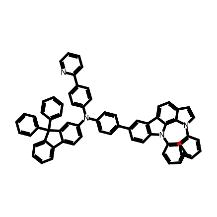 c1ccc(-n2ccc3ccc4c5cc(-c6ccc(N(c7ccc(-c8ccccn8)cc7)c7ccc8c(c7)C(c7ccccc7)(c7ccccc7)c7ccccc7-8)cc6)ccc5n(-c5ccccc5)c4c32)cc1